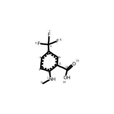 CNc1ccc(C(F)(F)F)cc1C(=O)O